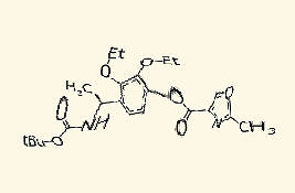 CCOc1c(OC(=O)c2coc(C)n2)ccc([C@H](C)NC(=O)OC(C)(C)C)c1OCC